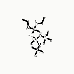 CCO[Si](C)(OCC)O[Si](C)(O[Si](C)(C)C)O[Si](C)(C)C